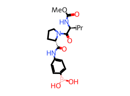 COC(=O)N[C@H](C(=O)N1CCC[C@H]1C(=O)Nc1ccc(B(O)O)cc1)C(C)C